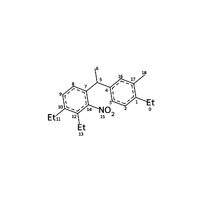 CCc1ccc(C(C)c2ccc(CC)c(CC)c2[N+](=O)[O-])cc1C